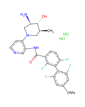 COc1cc(F)c(-c2c(F)ccc(C(=O)Nc3cnccc3N3C[C@@H](N)[C@H](O)[C@@H](C)C3)c2F)c(F)c1.Cl.Cl